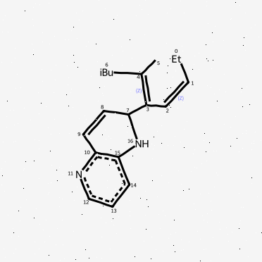 CC/C=C\C(=C(/C)C(C)CC)C1C=Cc2ncccc2N1